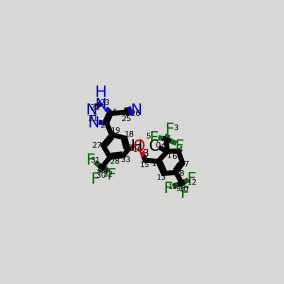 CC1(C(F)(F)F)CC=C(C(F)(F)F)C=C1COc1cc(-c2nn[nH]c2C#N)cc(C(F)(F)F)c1